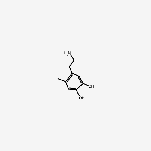 NCCc1cc(O)c(O)cc1I